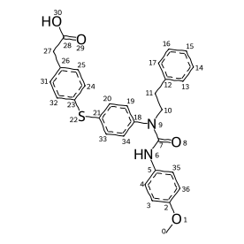 COc1ccc(NC(=O)N(CCc2ccccc2)c2ccc(Sc3ccc(CC(=O)O)cc3)cc2)cc1